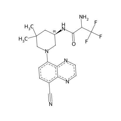 CC1(C)C[C@@H](NC(=O)C(N)C(F)(F)F)CN(c2ccc(C#N)c3nccnc23)C1